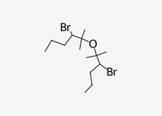 CCCC(Br)C(C)(C)OC(C)(C)C(Br)CCC